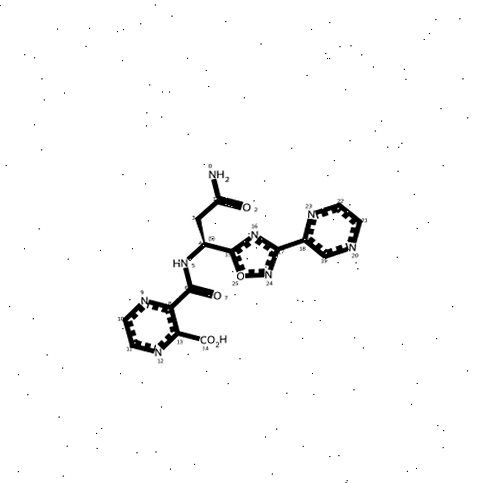 NC(=O)C[C@H](NC(=O)c1nccnc1C(=O)O)c1nc(-c2cnccn2)no1